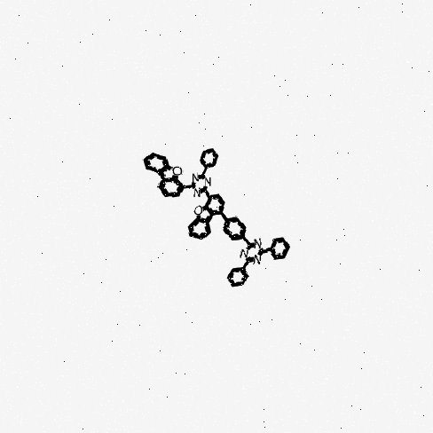 c1ccc(-c2nc(-c3ccccc3)nc(-c3ccc(-c4ccc(-c5nc(-c6ccccc6)nc(-c6cccc7c6oc6ccccc67)n5)c5oc6ccccc6c45)cc3)n2)cc1